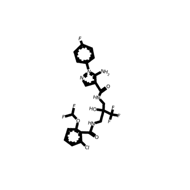 Nc1c(C(=O)NCC(O)(CNC(=O)c2c(Cl)cccc2OC(F)F)C(F)(F)F)cnn1-c1ccc(F)cc1